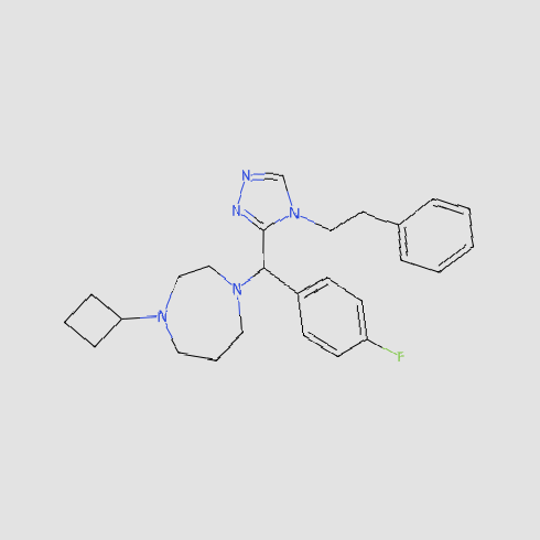 Fc1ccc(C(c2nncn2CCc2ccccc2)N2CCCN(C3CCC3)CC2)cc1